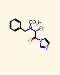 CC[C@@H](C(=O)n1ccnc1)N(Cc1ccccc1)C(=O)O